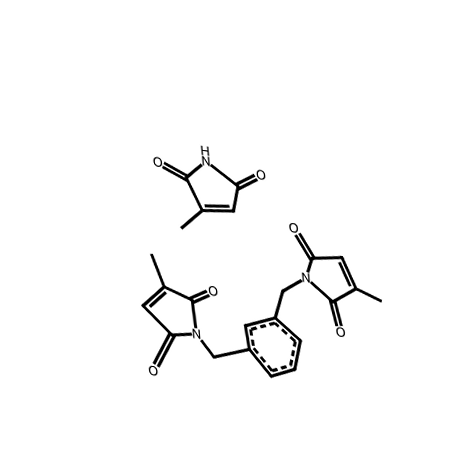 CC1=CC(=O)N(Cc2cccc(CN3C(=O)C=C(C)C3=O)c2)C1=O.CC1=CC(=O)NC1=O